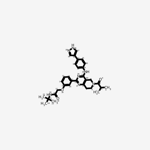 CC(C)C(=O)N1CCc2nc(-c3cccc(OCC(=O)NC(C)(C)C)c3)nc(Nc3ccc(-c4cn[nH]c4)cc3)c2C1